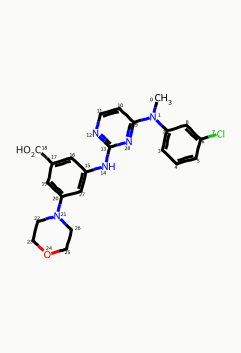 CN(c1cccc(Cl)c1)c1ccnc(Nc2cc(C(=O)O)cc(N3CCOCC3)c2)n1